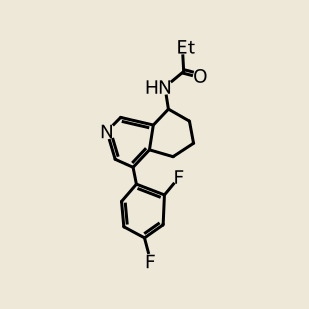 CCC(=O)NC1CCCc2c(-c3ccc(F)cc3F)cncc21